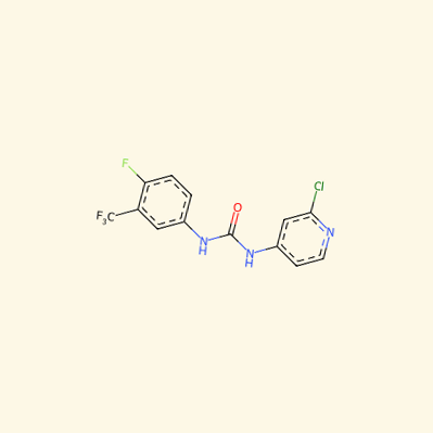 O=C(Nc1ccnc(Cl)c1)Nc1ccc(F)c(C(F)(F)F)c1